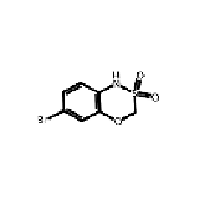 O=S1(=O)COc2cc(Br)ccc2N1